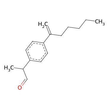 C=C(CCCCC)c1ccc(C(C)C=O)cc1